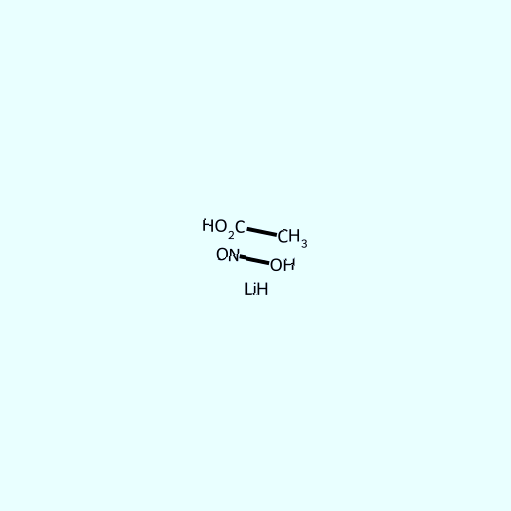 CC(=O)O.O=NO.[LiH]